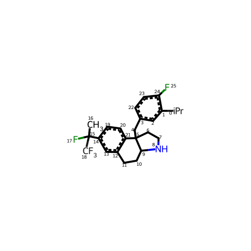 CC(C)c1cc(CC23CCNC2CCc2cc(C(C)(F)C(F)(F)F)ccc23)ccc1F